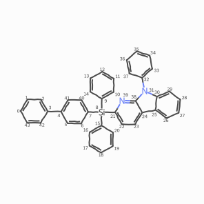 c1ccc(-c2ccc([Si](c3ccccc3)(c3ccccc3)c3ccc4c5ccccc5n(-c5ccccc5)c4n3)cc2)cc1